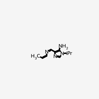 C/C=C\N=C/c1ncn(C(C)C)c1N